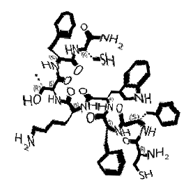 C[C@@H](O)[C@H](NC(=O)[C@H](CCCCN)NC(=O)[C@@H](Cc1c[nH]c2ccccc12)NC(=O)[C@H](Cc1ccccc1)NC(=O)[C@H](Cc1ccccc1)NC(=O)[C@@H](N)CS)C(=O)N[C@@H](Cc1ccccc1)C(=O)N[C@@H](CS)C(N)=O